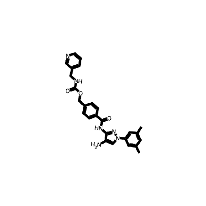 Cc1cc(C)cc(-n2cc(N)c(NC(=O)c3ccc(COC(=O)NCc4cccnc4)cc3)n2)c1